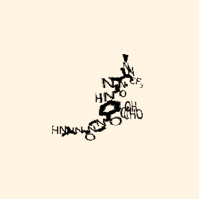 Cn1c(-c2cn(C3CC3)nc2C(F)(F)F)cnc1C(=O)Nc1ccc(C(=O)N2CCN(C(=O)NCC3CNC3)CC2)c(Cl)c1.O=CO